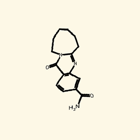 NC(=O)c1ccc2c(=O)n3c(nc2c1)CCCCCC3